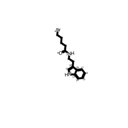 O=C(CCCCBr)NCCc1c[nH]c2ccccc12